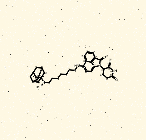 CN(CCCCCCCNc1ccc2c3c(cccc13)C(=O)N2C1CCC(=O)NC1=O)C12CC3CC(CC(C3)C1)C2